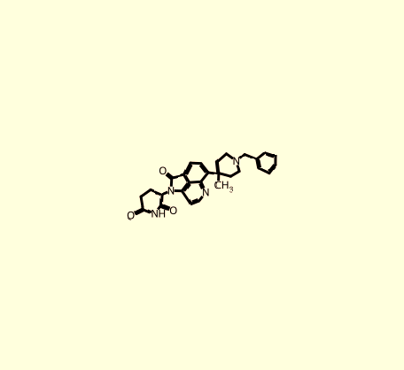 CC1(c2ccc3c4c(ccnc24)N(C2CCC(=O)NC2=O)C3=O)CCN(Cc2ccccc2)CC1